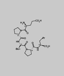 CC[C@H](C)[C@H](NC(=O)[C@@H]1CCCN1C(=O)[C@@H](N)CCC(=O)O)C(=O)N1CCC[C@H]1C(=O)N[C@@H](CC(C)C)C(=O)O